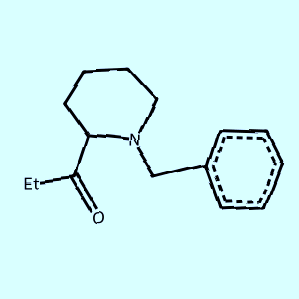 CCC(=O)C1CCCCN1Cc1ccccc1